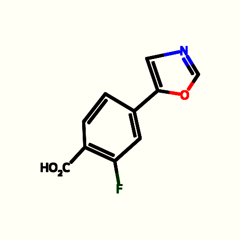 O=C(O)c1ccc(-c2cnco2)cc1F